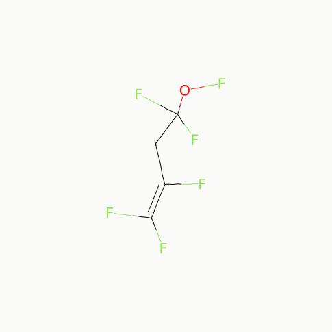 FOC(F)(F)CC(F)=C(F)F